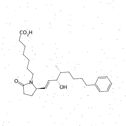 C[C@H](CCCCc1ccccc1)[C@H](O)/C=C/[C@H]1CCC(=O)N1CCCCCCC(=O)O